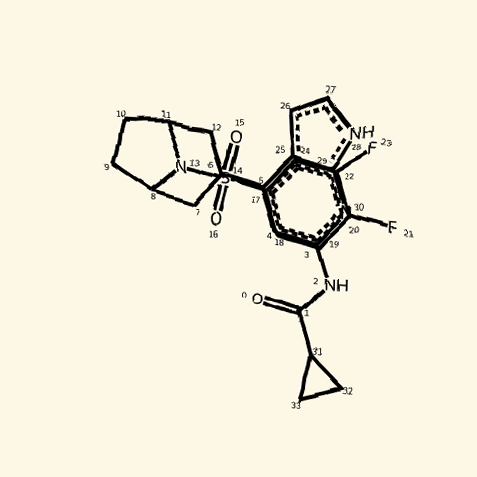 O=C(Nc1cc(C2CC3CCC(C2)N3S(=O)(=O)c2ccc(F)c(F)c2)c2cc[nH]c2n1)C1CC1